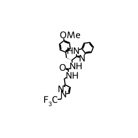 COc1ccc(C[C@@H](NC(=O)NCc2ccn(CC(F)(F)F)n2)c2nc3ccccc3[nH]2)cc1